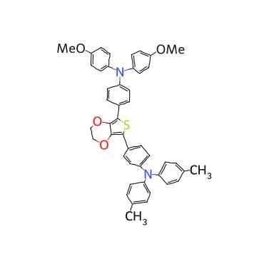 COc1ccc(N(c2ccc(OC)cc2)c2ccc(-c3sc(-c4ccc(N(c5ccc(C)cc5)c5ccc(C)cc5)cc4)c4c3OCCO4)cc2)cc1